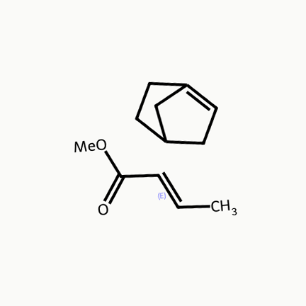 C/C=C/C(=O)OC.C1=C2CCC(C1)C2